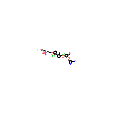 Cc1c(COc2cc(OCc3cncc(C#N)c3)c(C=O)cc2Cl)cccc1-c1cccc(OCCCNC[C@H](O)CO)c1Cl